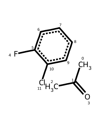 CC(C)=O.Fc1ccccc1Cl